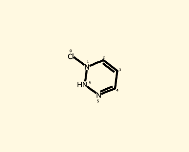 ClN1C=CC=NN1